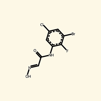 O=C(C=NO)Nc1cc(Cl)cc(Br)c1F